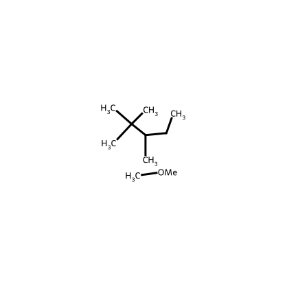 CCC(C)C(C)(C)C.COC